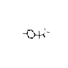 CN(C)C(=O)C(C)(C)c1ccc(N)cc1